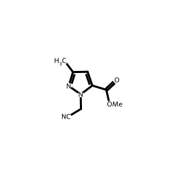 COC(=O)c1cc(C)nn1CC#N